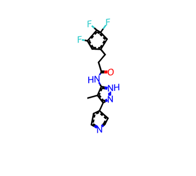 Cc1c(-c2ccncc2)n[nH]c1NC(=O)CCc1cc(F)c(F)c(F)c1